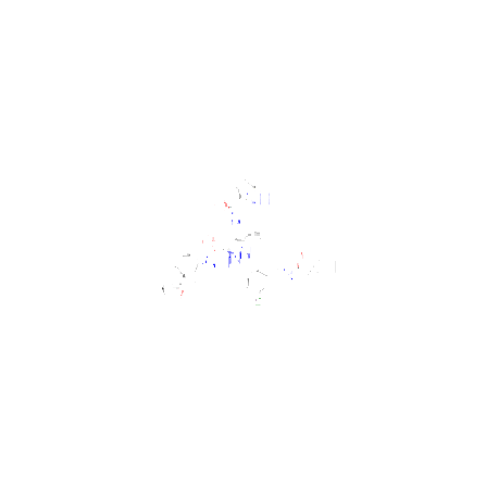 C=CC(=O)NCc1cc(F)ccc1Cn1nc(C(=O)Nc2cccc([C@H](C)O)c2)c2c1[C@H](C)CN(C(=O)c1ccc[nH]1)C2